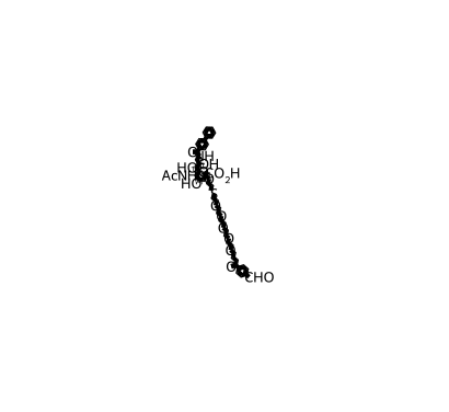 CC(=O)N[C@H]1[C@H]([C@H](O)[C@H](O)CNC(=O)c2ccc(-c3ccccc3)cc2)O[C@@](OCCCSCCOCCOCCOCCOCCOCCCC(=O)c2ccc(C=O)cc2)(C(=O)O)C[C@@H]1O